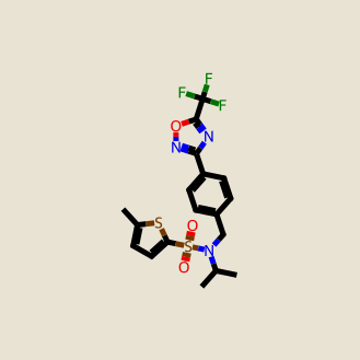 Cc1ccc(S(=O)(=O)N(Cc2ccc(-c3noc(C(F)(F)F)n3)cc2)C(C)C)s1